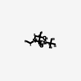 CCN1CC(C)(O[SiH2]C(C)(C)C)C1=O